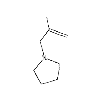 C=C(C)CN1CCCC1